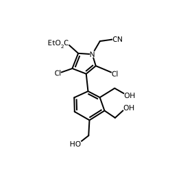 CCOC(=O)c1c(Cl)c(-c2ccc(CO)c(CO)c2CO)c(Cl)n1CC#N